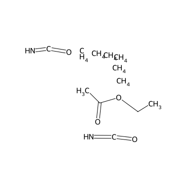 C.C.C.C.C.C.CCOC(C)=O.N=C=O.N=C=O